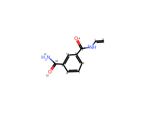 C=CNC(=O)c1cccc(C(N)=O)c1